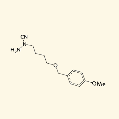 COc1ccc(COCCCCN(N)C#N)cc1